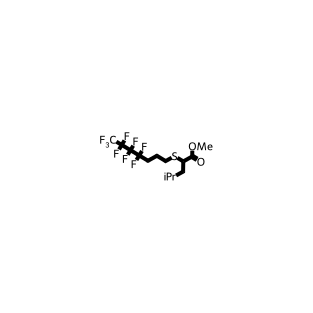 COC(=O)C(CC(C)C)SCCCC(F)(F)C(F)(F)C(F)(F)C(F)(F)F